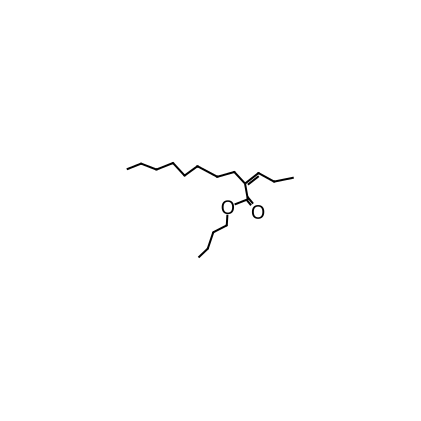 CCC=C(CCCCCCCC)C(=O)OCCCC